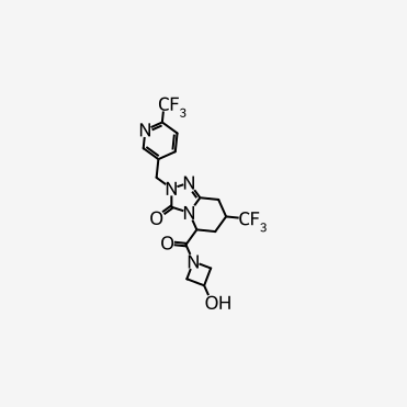 O=C(C1CC(C(F)(F)F)Cc2nn(Cc3ccc(C(F)(F)F)nc3)c(=O)n21)N1CC(O)C1